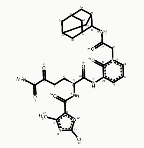 CNC(=O)C(=O)CC[C@H](NC(=O)c1nc(Cl)sc1C)C(=O)Nc1cccn(CC(=O)NC2C3CC4CC(C3)CC2C4)c1=O